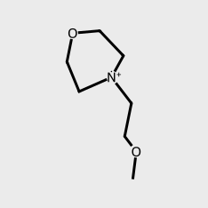 COCC[N+]1CCOCC1